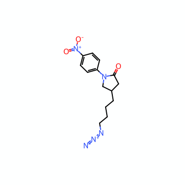 [N-]=[N+]=NCCCCC1CC(=O)N(c2ccc([N+](=O)[O-])cc2)C1